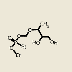 CCOP(=O)(CC)OCOC(C)C(O)CO